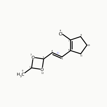 CC1OC(/C=C/C2=C(Cl)CCC2)O1